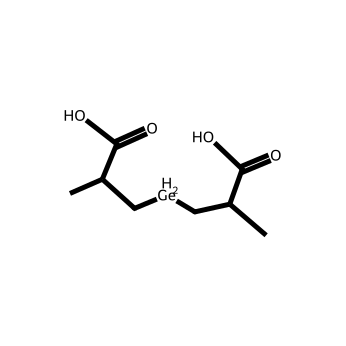 CC([CH2][GeH2][CH2]C(C)C(=O)O)C(=O)O